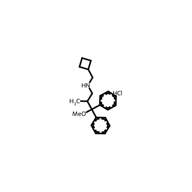 COC(c1ccccc1)(c1ccccc1)C(C)CNCC1CCC1.Cl